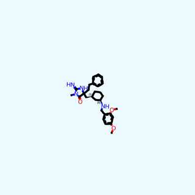 COc1ccc(CN[C@@H]2CCC[C@H](CC3(CCc4ccccc4)NC(=N)N(C)C3=O)C2)c(OC)c1